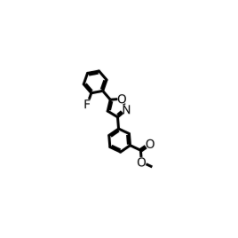 COC(=O)c1cccc(-c2cc(-c3ccccc3F)on2)c1